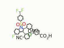 COc1cccc(C#N)c1-c1c(-c2cccc(-c3ccc(C(=O)O)cc3Cl)c2)n(S(=O)(=O)c2ccc(C(F)F)cc2)c2ccc(F)cc12